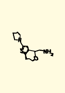 NCC1OCCc2sc(N3CCCC3)cc21